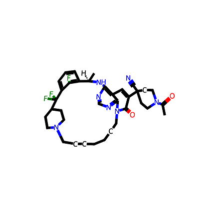 CC(=O)N1CCC(C#N)(c2cc3c4ncnc3n(c2=O)CCCCCCCN2CCC(CC2)C(F)(F)c2cccc(c2F)[C@@H](C)N4)CC1